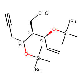 C#CC[C@@H](O[Si](C)(C)C(C)(C)C)[C@@H](CC=O)[C@H](C=C)O[Si](C)(C)C(C)(C)C